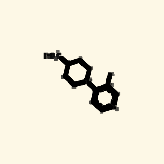 CCOC(=O)C1CCN(c2ccncc2C)CC1